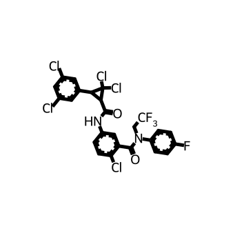 O=C(Nc1ccc(Cl)c(C(=O)N(CC(F)(F)F)c2ccc(F)cc2)c1)C1C(c2cc(Cl)cc(Cl)c2)C1(Cl)Cl